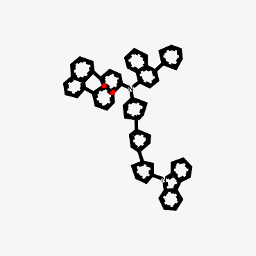 c1ccc(-c2ccc(N(c3ccc(-c4ccc(-c5cccc(-n6c7ccccc7c7ccccc76)c5)cc4)cc3)c3ccc(-c4cccc5cccc(-c6ccccc6)c45)cc3)c3ccccc23)cc1